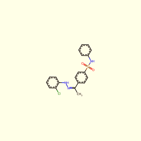 CC(=NNc1ccccc1Cl)c1ccc(S(=O)(=O)Nc2ccccc2)cc1